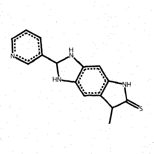 CC1C(=S)Nc2cc3c(cc21)NC(c1cccnc1)N3